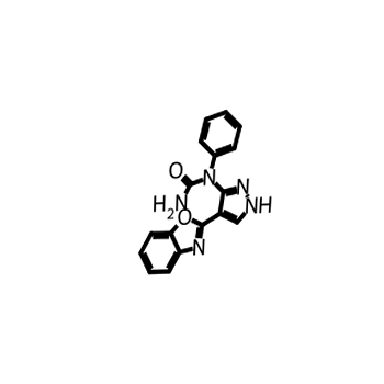 NC(=O)N(c1ccccc1)c1n[nH]cc1-c1nc2ccccc2o1